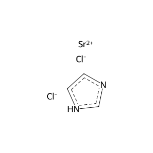 [Cl-].[Cl-].[Sr+2].c1c[nH]cn1